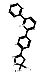 OC1(C(F)(F)F)CC(c2ccc(-c3cccc(-c4ccccc4)n3)cc2)=NO1